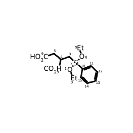 CCO[Si](CC(CC(=O)O)C(=O)O)(OCC)c1ccccc1